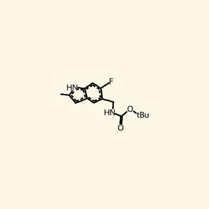 Cc1cc2cc(CNC(=O)OC(C)(C)C)c(F)cc2[nH]1